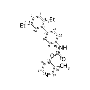 CCc1ccc(CC)c(-c2ccc(NC(=O)Oc3ccncc3C)cc2)c1